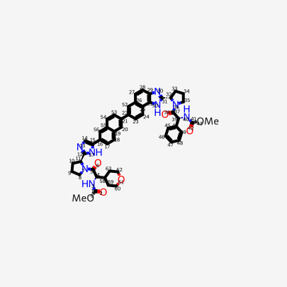 COC(=O)N[C@H](C(=O)N1CCC[C@H]1c1ncc(-c2ccc3cc(-c4ccc5c(ccc6nc([C@@H]7CCCN7C(=O)[C@H](NC(=O)OC)c7ccccc7)[nH]c65)c4)ccc3c2)[nH]1)C1CCOCC1